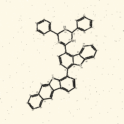 c1ccc(C2N=C(c3ccc(-c4cccc5c4oc4cc6ccccc6cc45)c4oc5cccnc5c34)NC(c3ccccc3)N2)cc1